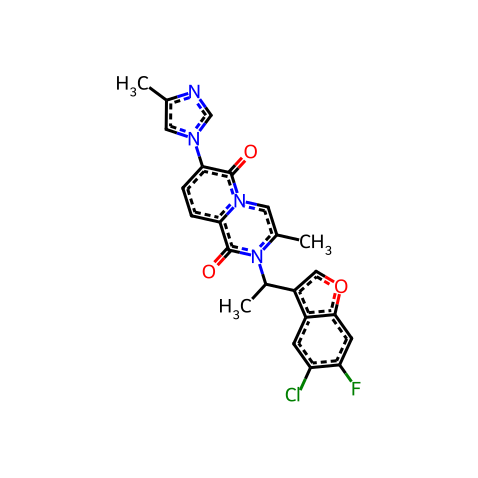 Cc1cn(-c2ccc3c(=O)n(C(C)c4coc5cc(F)c(Cl)cc45)c(C)cn3c2=O)cn1